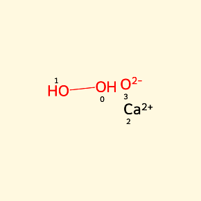 OO.[Ca+2].[O-2]